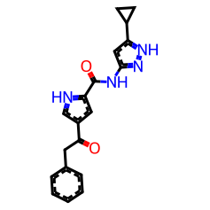 O=C(Cc1ccccc1)c1c[nH]c(C(=O)Nc2cc(C3CC3)[nH]n2)c1